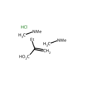 C=C(CC)C(=O)O.CNC.CNC.Cl